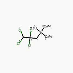 CO[Si](CC(Cl)(Cl)C(Cl)Cl)(OC)OC